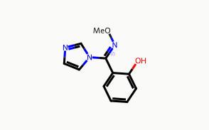 CO/N=C(/c1ccccc1O)n1ccnc1